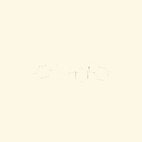 CCCC1C[C@@](C)(I)CC=C1[C@]1(C)CCC[C@@](C)(COS(=O)(=O)c2ccc(C(=O)O)cc2)C1